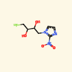 O=[N+]([O-])c1nccn1CC(O)C(O)C[18F]